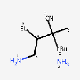 CCCCC(C)(C#N)C(CC)CN.N